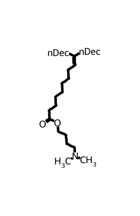 CCCCCCCCCCC(=CCCCCCCCC(=O)OCCCCN(C)C)CCCCCCCCCC